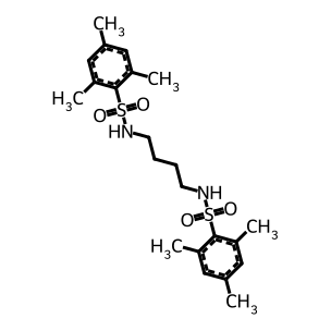 Cc1cc(C)c(S(=O)(=O)NCCCCNS(=O)(=O)c2c(C)cc(C)cc2C)c(C)c1